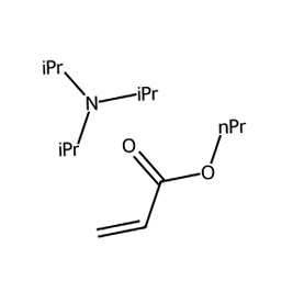 C=CC(=O)OCCC.CC(C)N(C(C)C)C(C)C